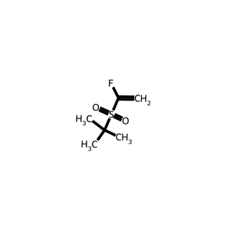 C=C(F)S(=O)(=O)C(C)(C)C